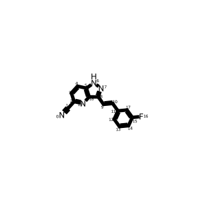 N#Cc1ccc2[nH]nc(C=Cc3cccc(F)c3)c2n1